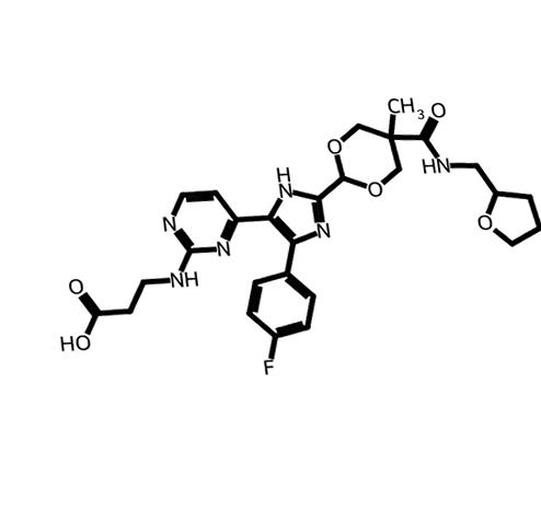 CC1(C(=O)NCC2CCCO2)COC(c2nc(-c3ccc(F)cc3)c(-c3ccnc(NCCC(=O)O)n3)[nH]2)OC1